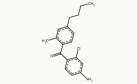 CCCCc1ccc(C(=O)c2ccc(N)cc2Cl)c(C)c1